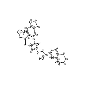 O=C(O)CC(Cn1cnc(CCC(O)c2ccc3c(n2)NCCC3)c1)c1ccc2c(c1)OCC2